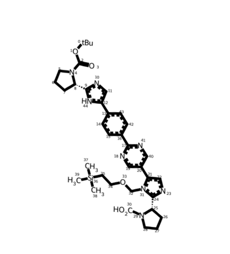 CC(C)(C)OC(=O)N1CCC[C@H]1c1ncc(-c2ccc(-c3ncc(-c4cnc([C@@H]5CCCN5C(=O)O)n4COCC[Si](C)(C)C)cn3)cc2)[nH]1